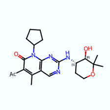 CC(=O)c1c(C)c2cnc(N[C@H]3CCOC(C)(C)[C@@H]3O)nc2n(C2CCCC2)c1=O